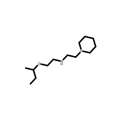 CCC(C)OCCNCCN1CCCCC1